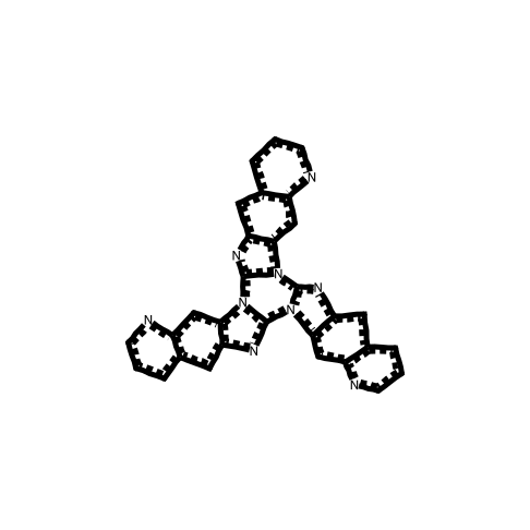 c1cnc2cc3c(cc2c1)nc1n3c2nc3cc4cccnc4cc3n2c2nc3cc4cccnc4cc3n12